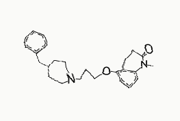 CN1C(=O)CCc2c(OCCCN3CCC(Cc4ccccc4)CC3)cccc21